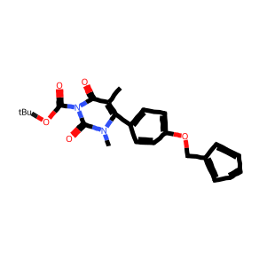 Cc1c(-c2ccc(OCc3ccccc3)cc2)n(C)c(=O)n(C(=O)OC(C)(C)C)c1=O